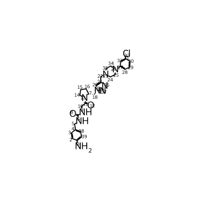 Nc1ccc(CNC(=O)NCC(=O)N2CCC[C@@H]2Cn2cc(CN3CCN(c4cccc(Cl)c4)CC3)nn2)cc1